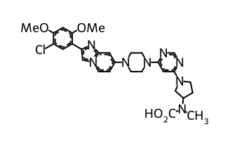 COc1cc(OC)c(-c2cn3ccc(N4CCN(c5cc(N6CCC(N(C)C(=O)O)C6)ncn5)CC4)cc3n2)cc1Cl